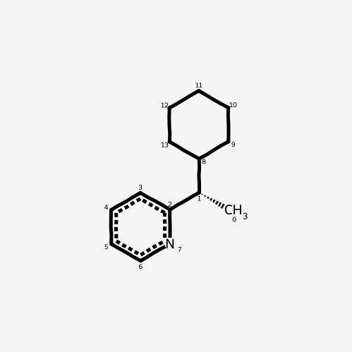 C[C@H](c1ccccn1)C1CCCCC1